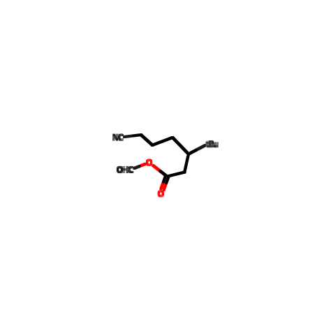 CC(C)(C)C(CCCC#N)CC(=O)OC=O